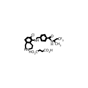 CC(CC(F)(F)F)NC(=O)c1ccc(CNc2c(Cl)ccc3c2CCNCC3)cc1.O=C(O)CCC(=O)O